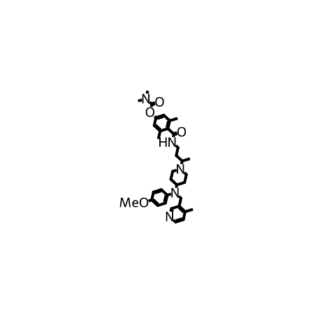 COc1ccc(N(Cc2cnccc2C)C2CCN(C(C)CCNC(=O)c3c(C)cc(OC(=O)N(C)C)cc3C)CC2)cc1